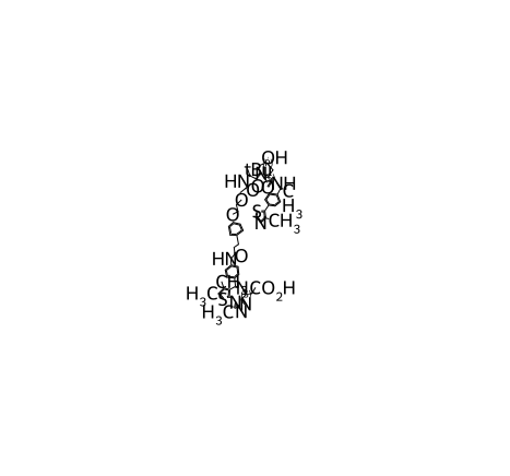 Cc1ncsc1-c1ccc(C(C)NC(=O)[C@@H]2C[C@@H](O)CN2C(=O)C(NC(=O)COCCOc2ccc(CCC(=O)Nc3ccc(C4=N[C@@H](CC(=O)O)c5nnc(C)n5-c5sc(C)c(C)c54)cc3)cc2)C(C)(C)C)cc1